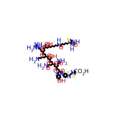 N=C(N)NCCCC(CC(=O)C(CO)CC(=O)CCCCCNC(=O)CCCCC1SCC2NC(=O)NC21)C(=O)CC(CCCCN)C(=O)CC(CO)C(=O)CC(CCC(N)=O)C(=O)CC(CCC(N)=O)C(=O)CC(Cc1ccc(O)cc1)C(=O)Nc1ccc2nc(C3=NC(C(=O)O)CS3)sc2c1